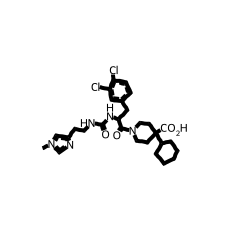 Cn1cnc(CCNC(=O)NC(Cc2ccc(Cl)c(Cl)c2)C(=O)N2CCC(C(=O)O)(C3CCCCC3)CC2)c1